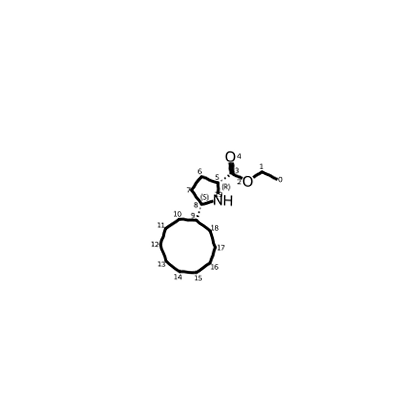 CCOC(=O)[C@H]1CC[C@@H](C2CCCCCCCCC2)N1